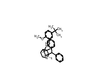 COc1ccc(C(C)(C)C)cc1CN[C@H]1C2CCN(CC2)[C@]1(I)C(c1ccccc1)c1ccccc1